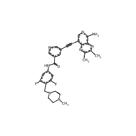 Cc1nc2c(C#Cc3cncc(C(=O)Nc4cc(F)c(CN5CCN(C)CC5)c(F)c4)c3)cnc(N)c2nc1C